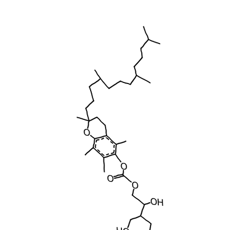 CCC(CO)C(O)COC(=O)Oc1c(C)c(C)c2c(c1C)CCC(C)(CCCC(C)CCCC(C)CCCC(C)C)O2